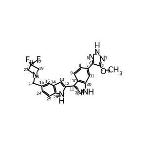 COc1n[nH]nc1-c1ccc2c(-c3cc4cc(CN5CC(F)(F)C5)ccc4[nH]3)n[nH]c2c1